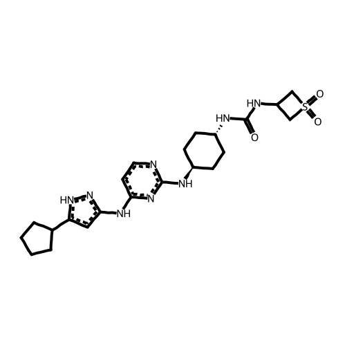 O=C(NC1CS(=O)(=O)C1)N[C@H]1CC[C@H](Nc2nccc(Nc3cc(C4CCCC4)[nH]n3)n2)CC1